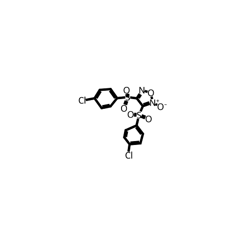 O=S(=O)(c1ccc(Cl)cc1)c1no[n+]([O-])c1S(=O)(=O)c1ccc(Cl)cc1